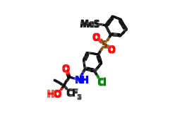 CSc1ccccc1S(=O)(=O)c1ccc(NC(=O)C(C)(O)C(F)(F)F)c(Cl)c1